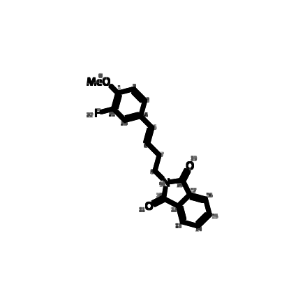 COc1ccc(/C=C/CCN2C(=O)c3ccccc3C2=O)cc1F